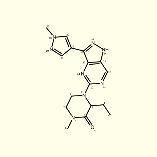 CCC1C(=O)N(C)CCN1c1ncc2[nH]nc(-c3cnn(C)c3)c2n1